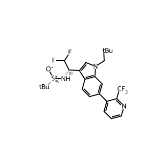 CC(C)(C)Cn1cc([C@H](N[S@@+]([O-])C(C)(C)C)C(F)F)c2ccc(-c3cccnc3C(F)(F)F)cc21